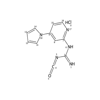 Cl.N=C(N=C=O)Nc1cc(-n2cccc2)ccn1